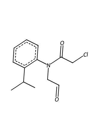 CC(C)c1ccccc1N(CC=O)C(=O)CCl